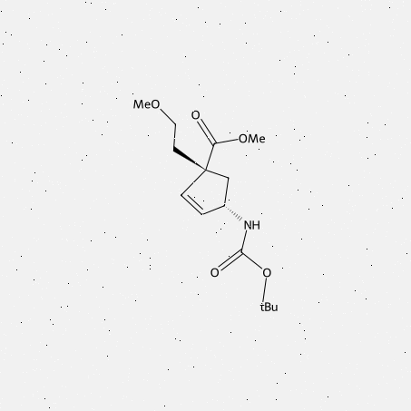 COCC[C@]1(C(=O)OC)C=C[C@@H](NC(=O)OC(C)(C)C)C1